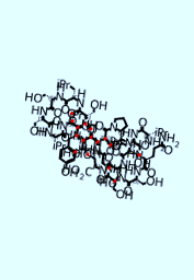 CC(C)C[C@H](NC(=O)CNC(=O)[C@H](CO)NC(=O)[C@H](CO)NC(=O)[C@H](CCC(N)=O)NC(=O)[C@H](CC(C)C)NC(=O)[C@@H](N)C(C)C)C(=O)N[C@@H](Cc1ccc(O)cc1)C(=O)N[C@@H](CO)C(=O)N[C@@H](CC(C)C)C(=O)N[C@@H](CO)C(=O)N[C@@H](CO)C(=O)N[C@H](C(=O)N[C@H](C(=O)N[C@H](C(=O)N[C@H](C(=O)N1CCC[C@H]1C(=O)N[C@@H](CO)C(=O)N[C@@H](CO)C(=O)N[C@@H](CO)C(=O)O)C(C)C)[C@@H](C)O)C(C)C)C(C)C